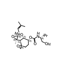 CO[C@@H]1[C@H](OC(=O)N[C@@H](CO)C(C)C)CC[C@]2(CO2)[C@H]1[C@@]1(C)O[C@@H]1CC=C(C)C